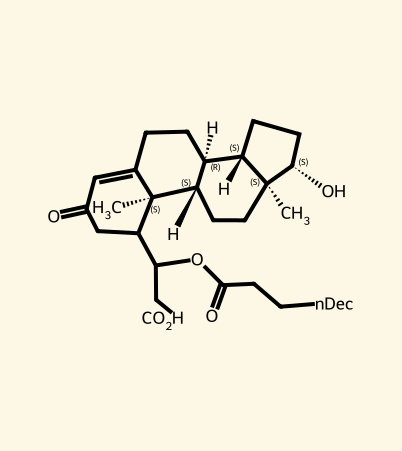 CCCCCCCCCCCCC(=O)OC(CC(=O)O)C1CC(=O)C=C2CC[C@H]3[C@@H]4CC[C@H](O)[C@@]4(C)CC[C@@H]3[C@]21C